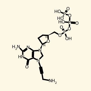 NCC#CN1CN([C@H]2CC[C@@H](COP(=O)(O)OP(=O)(O)OP(=O)(O)O)O2)c2nc(N)[nH]c(=O)c21